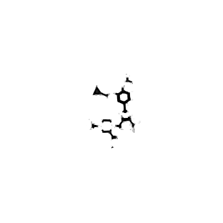 COC(=O)C1CN(C(N)=O)CCN1C(=O)c1nc(-c2ccc(OC(F)F)c(OCC3CC3)c2)oc1[C@H](C)N